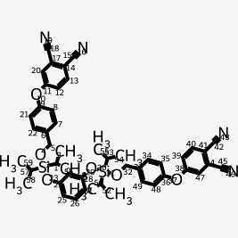 CC(C)[Si](OCc1ccc(Oc2ccc(C#N)c(C#N)c2)cc1)(Oc1cccc(O[Si](OCc2ccc(Oc3ccc(C#N)c(C#N)c3)cc2)(C(C)C)C(C)C)c1)C(C)C